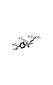 CN(C)CCNS(=O)(=O)c1ccc(B(O)O)cc1OC(F)(F)F